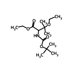 CCOC(=O)C(NC(=O)OC(C)(C)C)C(C)(C)OCC